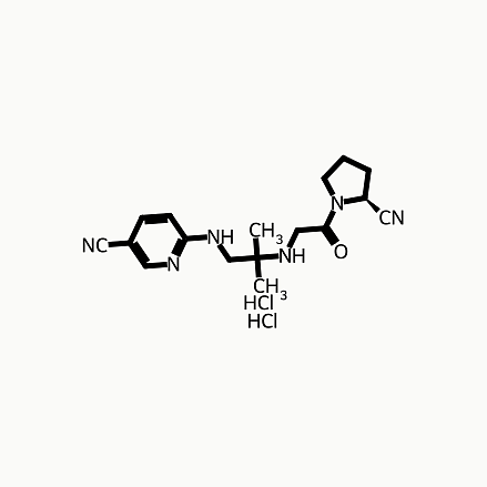 CC(C)(CNc1ccc(C#N)cn1)NCC(=O)N1CCC[C@H]1C#N.Cl.Cl